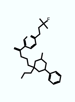 C=C(/C=C\C(=C/C)C(=C)CCCC1(CCC)CC(C)CC(c2ccccc2)C1)CCC(C)(C)F